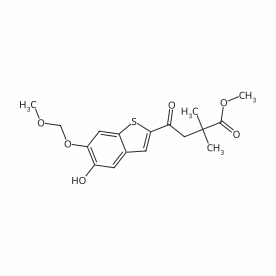 COCOc1cc2sc(C(=O)CC(C)(C)C(=O)OC)cc2cc1O